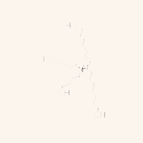 CCCCCCC[CH2][Al]([CH2]CCCCCCC)[N](CCCCC)CCCCC